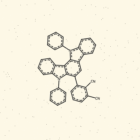 N#Cc1cccc(-c2cc3c4ccccc4n(-c4ccccc4)c3c3c4ccccc4n(-c4ccccc4)c23)c1C#N